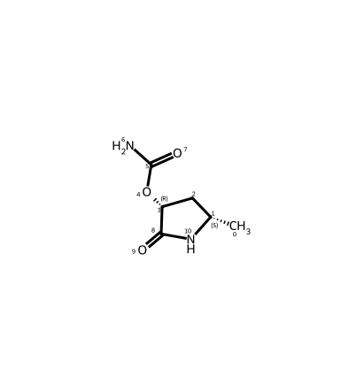 C[C@H]1C[C@@H](OC(N)=O)C(=O)N1